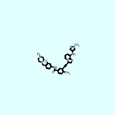 CCN1CCN(Cc2ccc(NC(=O)c3ccc(C)c(C#Cc4cnc5c(Nc6cnn(C)c6)cccn45)c3)cc2C(F)(F)F)CC1